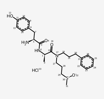 C[C@@H](NC(=O)[C@@H](N)Cc1ccc(O)cc1)C(=O)N(CCCc1ccccc1)CCC[S+](C)[O-].Cl